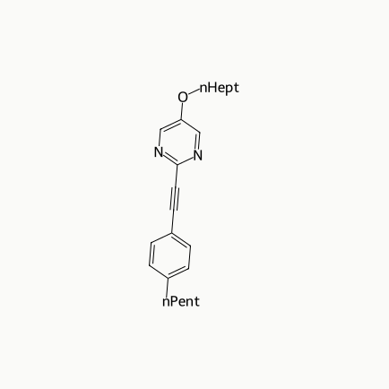 CCCCCCCOc1cnc(C#Cc2ccc(CCCCC)cc2)nc1